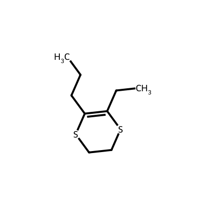 CCCC1=C(CC)SCCS1